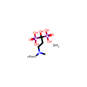 CCCCCN(C)CCC(O)(P(=O)(O)O)P(=O)(O)O.[SrH2]